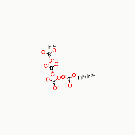 [In+3].[In+3].[In+3].[In+3].[O-]B([O-])[O-].[O-]B([O-])[O-].[O-]B([O-])[O-].[O-]B([O-])[O-]